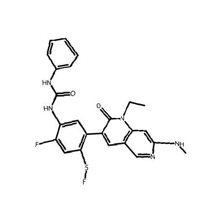 CCn1c(=O)c(-c2cc(NC(=O)Nc3ccccc3)c(F)cc2SF)cc2cnc(NC)cc21